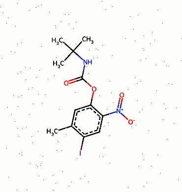 Cc1cc(OC(=O)NC(C)(C)C)c([N+](=O)[O-])cc1I